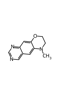 CN1CCOc2cc3ncncc3cc21